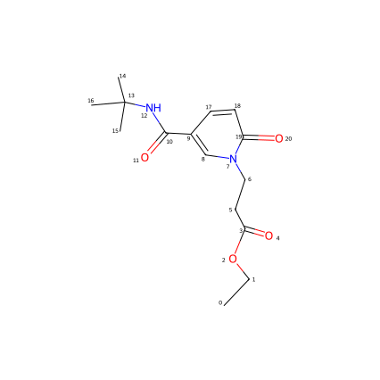 CCOC(=O)CCn1cc(C(=O)NC(C)(C)C)ccc1=O